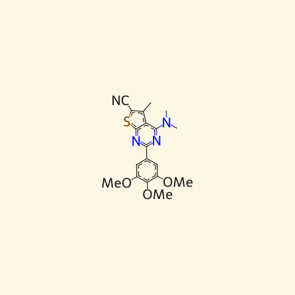 COc1cc(-c2nc(N(C)C)c3c(C)c(C#N)sc3n2)cc(OC)c1OC